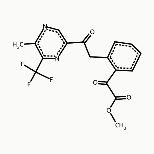 COC(=O)C(=O)c1ccccc1CC(=O)c1cnc(C)c(C(F)(F)F)n1